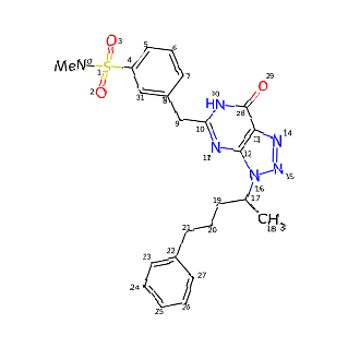 CNS(=O)(=O)c1cccc(Cc2nc3c(nnn3C(C)CCCc3ccccc3)c(=O)[nH]2)c1